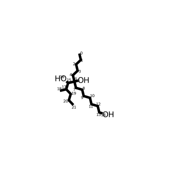 CCCCCC(O)(CCCCCCCO)C(O)C(C)CCC